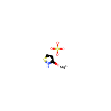 O=S(=O)([O-])[O-].O=c1ccs[nH]1.[Mg+2]